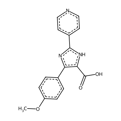 COc1ccc(-c2nc(-c3ccncc3)[nH]c2C(=O)O)cc1